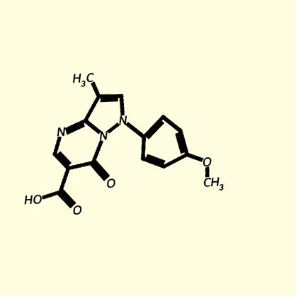 COc1ccc(-n2cc(C)c3ncc(C(=O)O)c(=O)n32)cc1